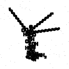 CCCCCCCCCCCCCCCC(=O)OCC(COC(=O)CCCCCCCCCCCCCCC)(COC(=O)CCCCCCCCCCCCCCC)NC(=O)CNC(=O)CC[C@H](NC(=O)c1ccc(N(C)Cc2cnc3nc(N)nc(N)c3n2)cc1)C(=O)O